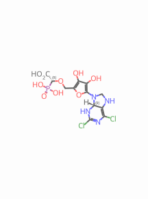 O=C(O)[C@H](OCc1oc(N2CNC3=C(Cl)N=C(Cl)N[C@@H]32)c(O)c1O)P(=O)(O)O